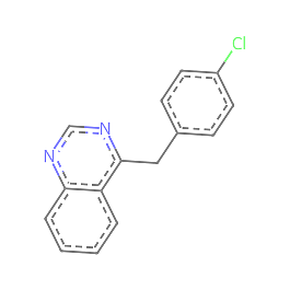 Clc1ccc(Cc2ncnc3ccccc23)cc1